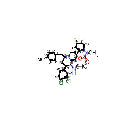 CN1C(=O)OC2(CCN(C(Cc3ccc(C#N)cc3)CC(CNC=O)c3ccc(Cl)c(Cl)c3)CC2)c2cc(F)ccc21